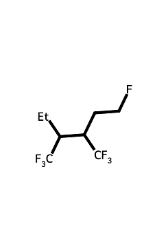 CCC(C(CCF)C(F)(F)F)C(F)(F)F